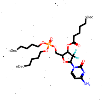 CCCCCCCCCCCCCCOP(=O)(OCCCCCCCCCCCCCC)OCC1OC(n2ccc(N)nc2=O)C(F)(F)C1OC(=O)CCCCCCCCCCCCCC